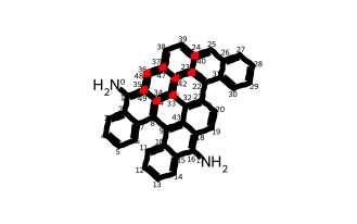 Nc1c2ccccc2c(-c2c3ccccc3c(N)c3ccc(-c4cccc5ccccc45)c(-c4cccc5ccccc45)c23)c2ccccc12